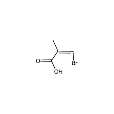 CC(=CBr)C(=O)O